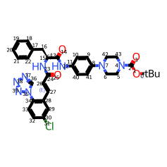 CC(C)(C)OC(=O)N1CCN(c2ccc(NC(=O)[C@H](Cc3ccccc3)NC(=O)/C=C/c3cc(Cl)ccc3-n3cnnn3)cc2)CC1